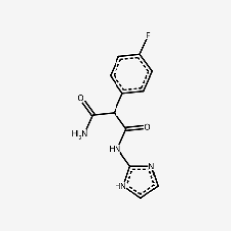 NC(=O)C(C(=O)Nc1ncc[nH]1)c1ccc(F)cc1